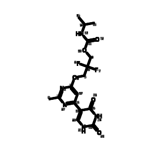 Cc1nc(OCC(F)(F)COC(=O)NC(C)C)cc(-c2c[nH]c(=O)[nH]c2=O)n1